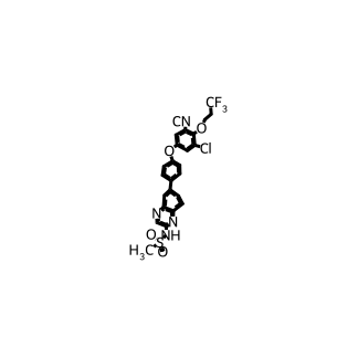 CS(=O)(=O)Nc1cnc2cc(-c3ccc(Oc4cc(Cl)c(OCCC(F)(F)F)c(C#N)c4)cc3)ccc2n1